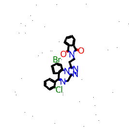 O=C1c2ccccc2C(=O)N1CCc1nnc2n1-c1cc(Br)ccc1C(c1ccccc1Cl)=NC2